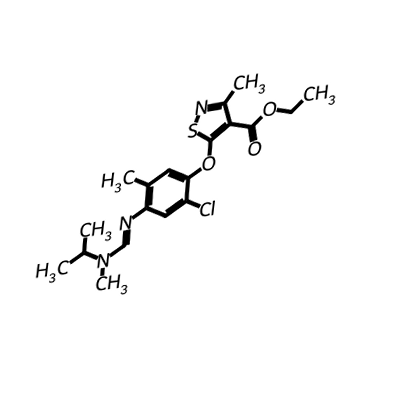 CCOC(=O)c1c(C)nsc1Oc1cc(C)c(N=CN(C)C(C)C)cc1Cl